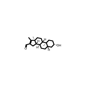 CC1=C(C=O)C[C@H]2[C@@H]3CC[C@H]4C[C@@H](O)CC[C@]4(C)[C@H]3CC[C@]12C